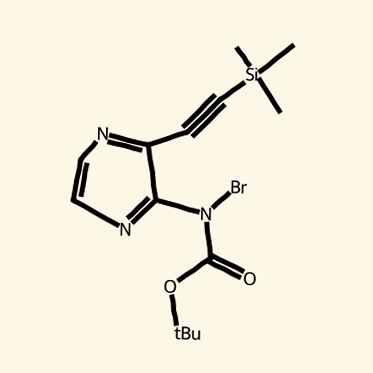 CC(C)(C)OC(=O)N(Br)c1nccnc1C#C[Si](C)(C)C